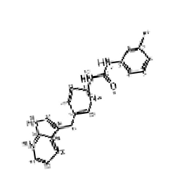 O=C(Nc1cccc(F)c1)Nc1ccc(Cc2c[nH]c3ncccc23)cn1